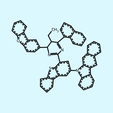 CCC1C(c2cccc3ccccc23)=NC(c2cc(-n3c4ccccc4c4cc5ccccc5cc43)cc3c2sc2ccccc23)=NC1c1ccc2oc3ccccc3c2c1